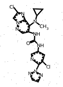 CN(c1c(NC(=O)Nc2cnc(-n3nccn3)c(Cl)c2)cnn2cc(Cl)nc12)C1CC1